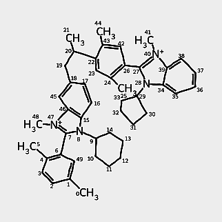 Cc1ccc(C)c(-c2n(C3CCCCC3)c3ccc(CC(C)c4cc(C)c(-c5n(C6CCCC6)c6ccccc6[n+]5C)cc4C)cc3[n+]2C)c1